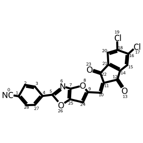 N#Cc1ccc(-c2nc3oc(C=C4C(=O)c5cc(Cl)c(Cl)cc5C4=O)cc3o2)cc1